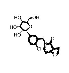 O=c1c2ccoc2ccn1Cc1cc([C@@H]2O[C@H](CO)[C@@H](O)[C@H](O)[C@H]2O)ccc1Cl